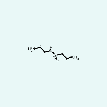 CCC[SiH2]NCCN